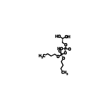 CCCCOP(=O)(OCCCC)OP(=O)(O)OCC(O)O